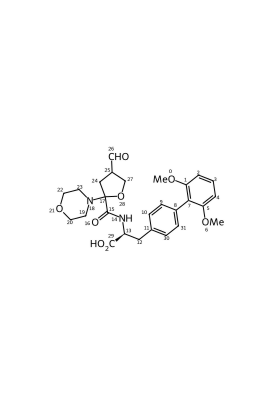 COc1cccc(OC)c1-c1ccc(C[C@H](NC(=O)C2(N3CCOCC3)CC(C=O)CO2)C(=O)O)cc1